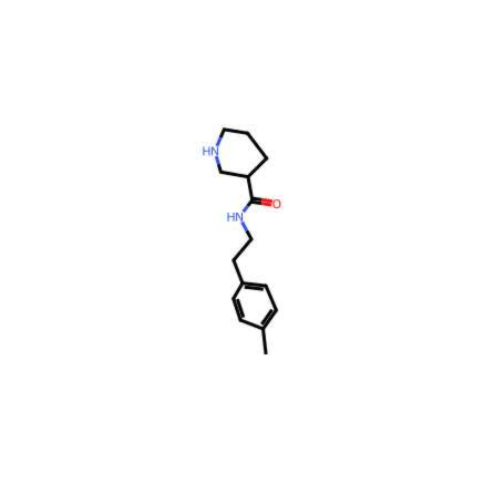 Cc1ccc(CCNC(=O)C2CCCNC2)cc1